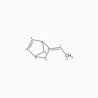 CC=C1CC2[C]=CC1C2